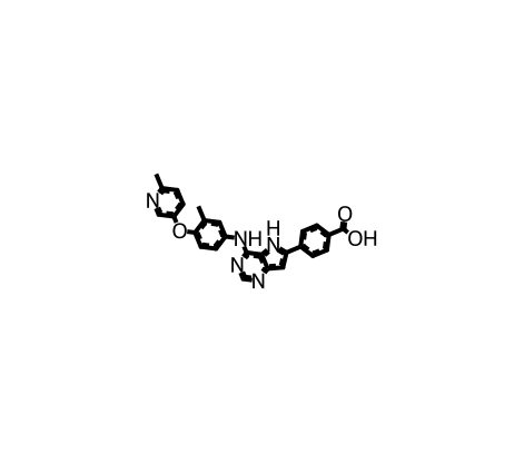 Cc1ccc(Oc2ccc(Nc3ncnc4cc(-c5ccc(C(=O)O)cc5)[nH]c34)cc2C)cn1